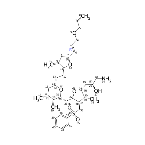 C=CCOC/C=C/[C@H]1CC(=C)C(CC[C@H]2C[C@@H](C)C(=C)[C@@H](CC3O[C@H](C[C@H](O)CN)[C@H](C)[C@H]3CS(=O)(=O)c3ccccc3)O2)O1